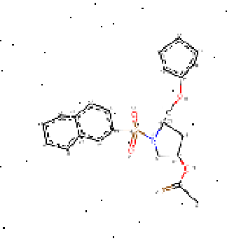 CC(=S)O[C@@H]1C[C@@H](COc2ccccc2)N(S(=O)(=O)c2ccc3ccccc3c2)C1